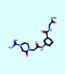 COC(=O)CNC(=O)c1cccc(NC(=O)CN2CCN(C(=N)N)CC2=O)c1